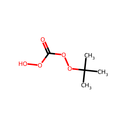 CC(C)(C)OOC(=O)OO